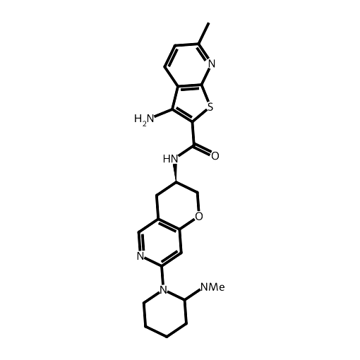 CNC1CCCCN1c1cc2c(cn1)C[C@@H](NC(=O)c1sc3nc(C)ccc3c1N)CO2